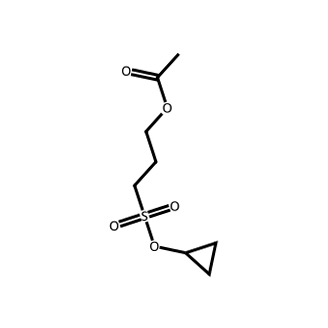 CC(=O)OCCCS(=O)(=O)OC1CC1